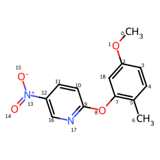 COc1ccc(C)c(Oc2ccc([N+](=O)[O-])cn2)c1